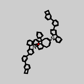 C1=C\C(n2c3ccccc3c3cc(-c4cccc(-c5ccc6c(c5)CC6)c4)ccc32)=C/CC(c2ccccc2)(c2ccccc2)c2cc(-n3c4ccccc4c4cc(-c5cccc(-c6ccc7c(c6)CC7)c5)ccc43)ccc2C/1